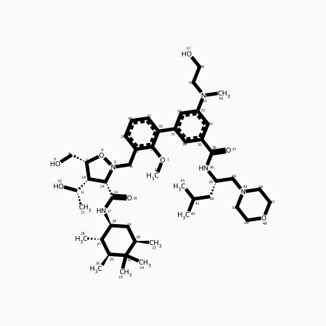 COc1c(CN2O[C@@H](CO)[C@@H]([C@H](C)O)[C@H]2C(=O)N[C@H]2C[C@@H](C)C(C)(C)[C@@H](C)[C@@H]2C)cccc1-c1cc(C(=O)N[C@@H](CC(C)C)CN2CCOCC2)cc(N(C)CCO)c1